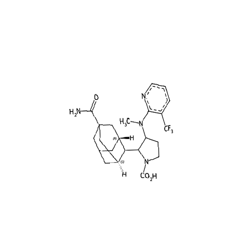 CN(c1ncccc1C(F)(F)F)C1CCN(C(=O)O)C1C1[C@@H]2CC3C[C@H]1CC(C(N)=O)(C3)C2